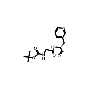 CC(C)(C)OC(=O)NCC(=O)N[C@H]([C]=O)Cc1cccnc1